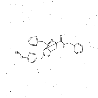 CC(C)(C)Oc1ccc(CN2CC3CC4(C(=O)NCc5ccccc5)N=CC3C2C4Cc2ccccc2)cc1